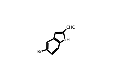 O=Cc1cc2cc(Br)ccc2[nH]1